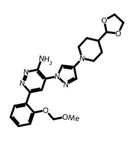 COCOc1ccccc1-c1cc(-n2cc(N3CCC(C4OCCO4)CC3)cn2)c(N)nn1